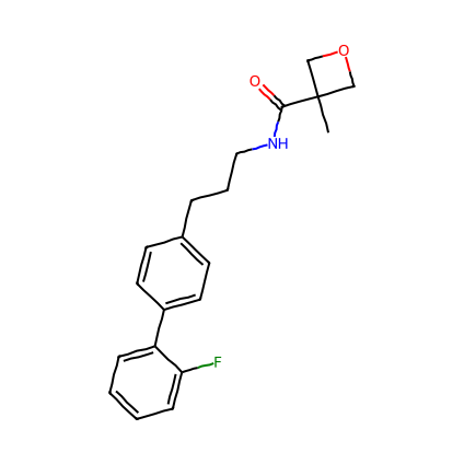 CC1(C(=O)NCCCc2ccc(-c3ccccc3F)cc2)COC1